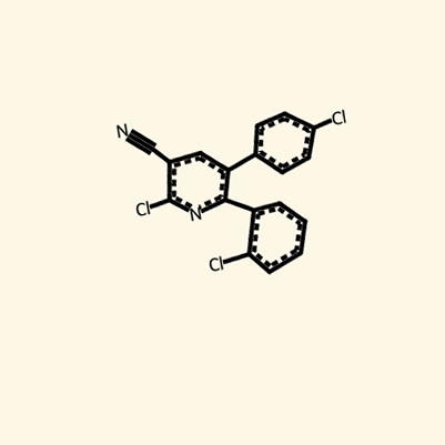 N#Cc1cc(-c2ccc(Cl)cc2)c(-c2ccccc2Cl)nc1Cl